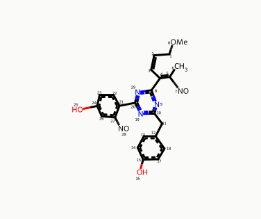 COC/C=C\C(=C(/C)N=O)c1nc(Cc2ccc(O)cc2)nc(-c2ccc(O)cc2N=O)n1